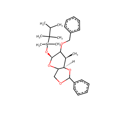 CC(C)C(C)(C)[Si](C)(C)O[C@@H]1OC2COC(c3ccccc3)O[C@@H]2[C@H](C)C1OCc1ccccc1